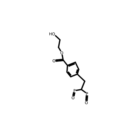 O=PC(Cc1ccc(C(=O)OCCO)cc1)P=O